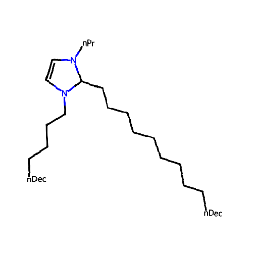 CCCCCCCCCCCCCCCCCCCC1N(CCC)C=CN1CCCCCCCCCCCCCC